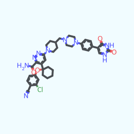 N#Cc1ccc(OC2(c3cc(N4CCC(CN5CCN(c6ccc(-c7c[nH]c(=O)[nH]c7=O)cc6)CC5)CC4)nnc3C(N)=O)CCCCC2)cc1Cl